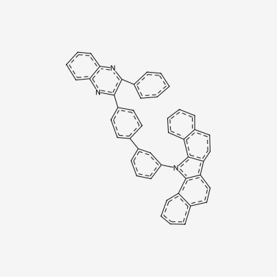 c1ccc(-c2nc3ccccc3nc2-c2ccc(-c3cccc(-n4c5c6ccccc6ccc5c5ccc6ccccc6c54)c3)cc2)cc1